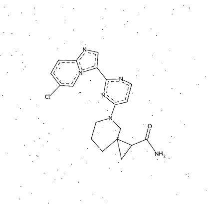 NC(=O)C1CC12CCCN(c1ccnc(-c3cnc4ccc(Cl)cn34)n1)C2